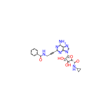 Nc1nc(C#CCNC(=O)c2ccccc2)nc2c1ncn2[C@@H]1O[C@H](C(=O)NC2CC2)[C@@H](O)[C@H]1O